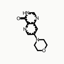 O=c1[nH]cnc2cc(N3CCOCC3)cnc12